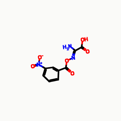 N/C(=N\OC(=O)c1cccc([N+](=O)[O-])c1)C(=O)O